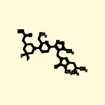 CCc1nc(-c2nnn(C)c2Cn2cc(CC(C)C)n(C)c2=O)ccc1N1C[C@H](CC(=O)O)CC(F)(F)C1